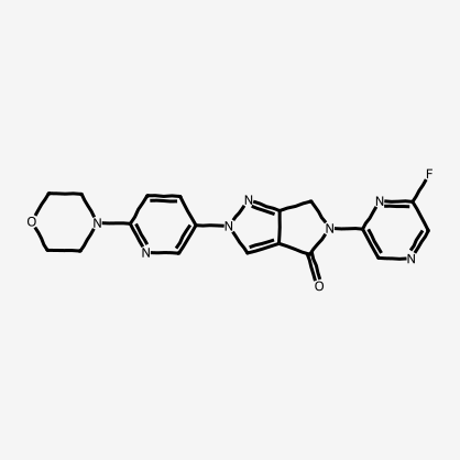 O=C1c2cn(-c3ccc(N4CCOCC4)nc3)nc2CN1c1cncc(F)n1